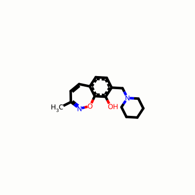 CC1=NOc2c(ccc(CN3CCCCC3)c2O)C=C1